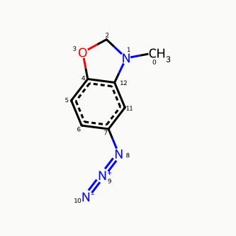 CN1COc2ccc(N=[N+]=[N-])cc21